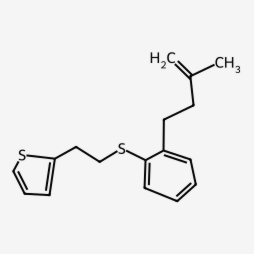 C=C(C)CCc1ccccc1SCCc1cccs1